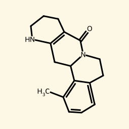 Cc1cccc2c1C1CC3=C(CCCN3)C(=O)N1CC2